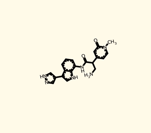 Cn1ccc(C(CN)C(=O)Nc2cccc3c(-c4cn[nH]c4)c[nH]c23)cc1=O